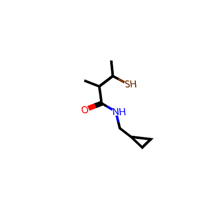 CC(S)C(C)C(=O)NCC1CC1